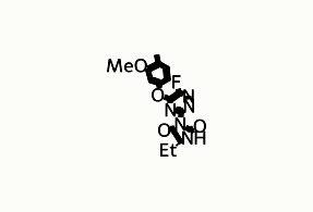 CC[C@H]1NC(=O)N(c2nnc(F)c(Oc3ccc(C)c(OC)c3)n2)C1=O